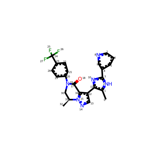 Cc1[nH]c(-c2cccnc2)nc1-c1cnn2c1C(=O)N(c1ccc(C(F)(F)F)cc1)C[C@@H]2C